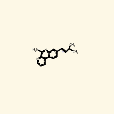 CC(C)/C=C/c1ccc2c(c1)nc(N)c1ncccc12